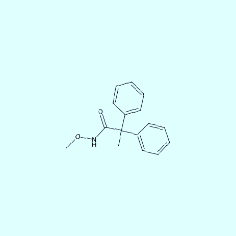 CONC(=O)C(C)(c1ccccc1)c1ccccc1